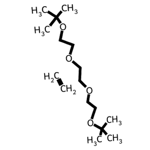 C=C.CC(C)(C)OCCOCCOCCOC(C)(C)C